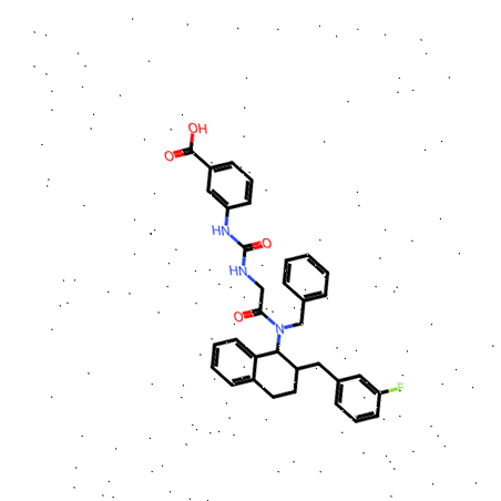 O=C(NCC(=O)N(Cc1ccccc1)C1c2ccccc2CCC1Cc1cccc(F)c1)Nc1cccc(C(=O)O)c1